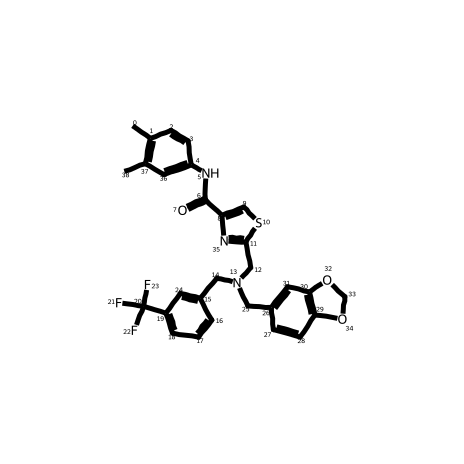 Cc1ccc(NC(=O)c2csc(CN(Cc3cccc(C(F)(F)F)c3)Cc3ccc4c(c3)OCO4)n2)cc1C